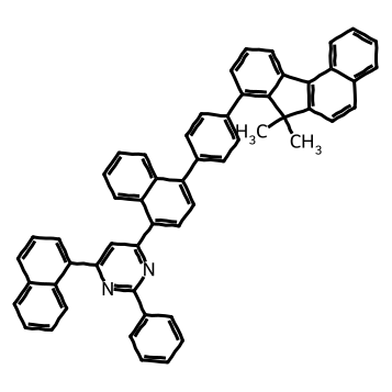 CC1(C)c2ccc3ccccc3c2-c2cccc(-c3ccc(-c4ccc(-c5cc(-c6cccc7ccccc67)nc(-c6ccccc6)n5)c5ccccc45)cc3)c21